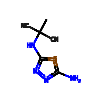 CC(C#N)(C#N)Nc1nnc(N)s1